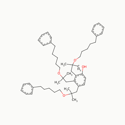 CC(C)(Cc1ccc(O)c(CC(C)(C)OCCCCCc2ccccc2)c1CC(C)(C)OCCCCCc1ccccc1)OCCCCCc1ccccc1